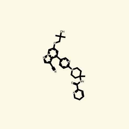 CC(C)(O)COc1cc(-c2ccc(N3CCC(C)(NC(=O)C4=NCCC=C4)CC3)nc2)c2c(C#N)cnn2c1